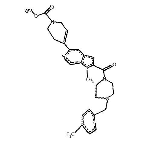 Cn1c(C(=O)N2CCN(Cc3ccc(C(F)(F)F)cc3)CC2)cc2cc(C3=CCN(C(=O)OC(C)(C)C)CC3)ncc21